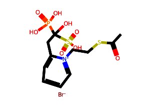 CC(=O)SCC[n+]1ccccc1CC(O)(P(=O)(O)O)S(=O)(=O)O.[Br-]